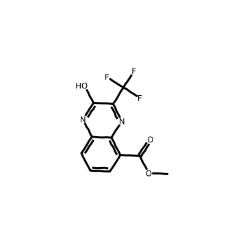 COC(=O)c1cccc2nc(O)c(C(F)(F)F)nc12